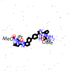 COC(=O)NC(C(=O)N1C(c2nc3ccc4cc(-c5ccc(-c6cnc(C7C8CCC(C8)N7C(=O)C(N)(C(=O)OC)C(C)C)[nH]6)cc5)ccc4c3[nH]2)CC2CC21)C(C)C